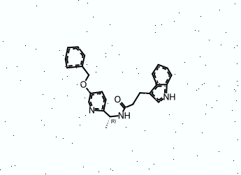 C[C@@H](NC(=O)CCc1c[nH]c2ccccc12)c1ccc(OCc2ccccc2)cn1